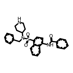 O=C(Nc1ccc(S(=O)(=O)N(Cc2ccccc2)C2CCNCC2)c2ccccc12)c1ccccc1